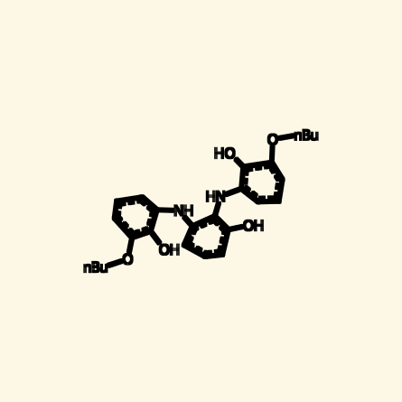 CCCCOc1cccc(Nc2cccc(O)c2Nc2cccc(OCCCC)c2O)c1O